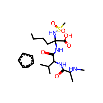 CCCCC(NC(=O)C(NC(=O)C(C)NC)C(C)C)(NS(C)(=O)=O)C(=O)O.c1ccccc1